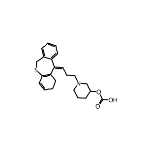 O=C(O)OC1CCCN(CCC=C2C3=C(C=CCC3)SCc3ccccc32)C1